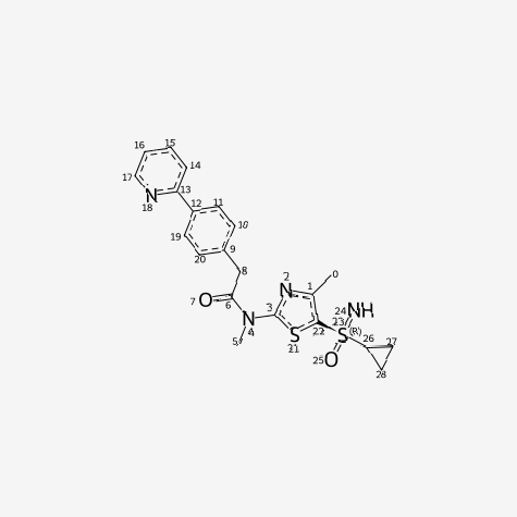 Cc1nc(N(C)C(=O)Cc2ccc(-c3ccccn3)cc2)sc1[S@](=N)(=O)C1CC1